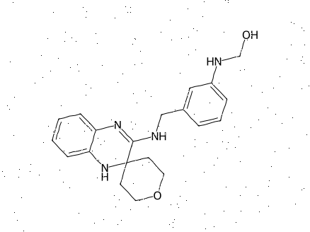 OCNc1cccc(CNC2=Nc3ccccc3NC23CCOCC3)c1